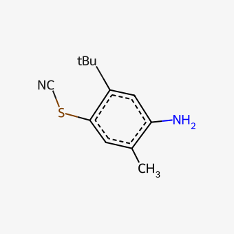 Cc1cc(SC#N)c(C(C)(C)C)cc1N